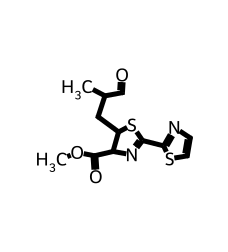 COC(=O)C1N=C(c2nccs2)SC1CC(C)C=O